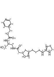 O=C(CC1CC(CCCNC2=NCCN2)=NO1)NCC(NC(=O)OCc1ccccc1)C(=O)O